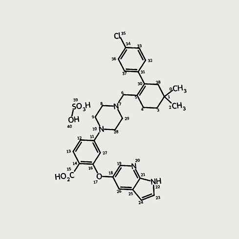 CC1(C)CCC(CN2CCN(c3ccc(C(=O)O)c(Oc4cnc5[nH]ccc5c4)c3)CC2)=C(c2ccc(Cl)cc2)C1.O=S(=O)(O)O